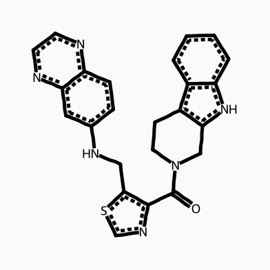 O=C(c1ncsc1CNc1ccc2nccnc2c1)N1CCc2c([nH]c3ccccc23)C1